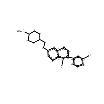 CCCCCC1CCC(CCc2ccc3c(F)c(-c4cccc(F)c4)ccc3c2)CC1